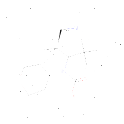 CC(C)(C)C(NC(=O)O)[C@H](CN)C[C@@H]1CCCOC1